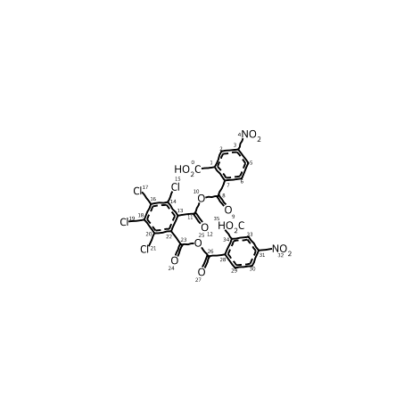 O=C(O)c1cc([N+](=O)[O-])ccc1C(=O)OC(=O)c1c(Cl)c(Cl)c(Cl)c(Cl)c1C(=O)OC(=O)c1ccc([N+](=O)[O-])cc1C(=O)O